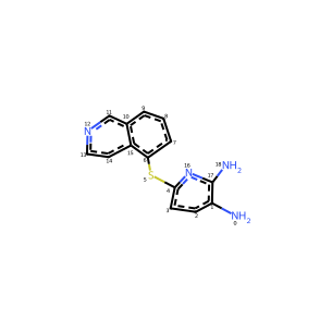 Nc1ccc(Sc2cccc3cnccc23)nc1N